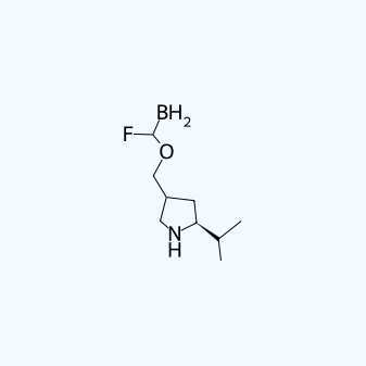 BC(F)OCC1CN[C@H](C(C)C)C1